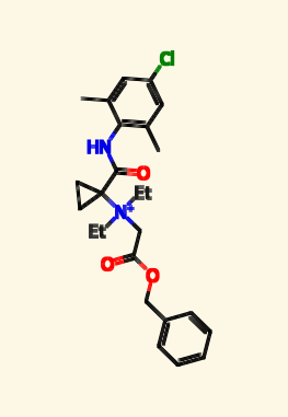 CC[N+](CC)(CC(=O)OCc1ccccc1)C1(C(=O)Nc2c(C)cc(Cl)cc2C)CC1